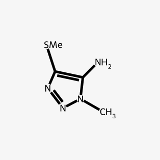 CSc1nnn(C)c1N